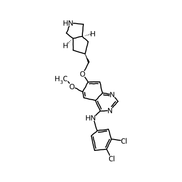 COc1cc2c(Nc3ccc(Cl)c(Cl)c3)ncnc2cc1OC[C@H]1C[C@H]2CNC[C@H]2C1